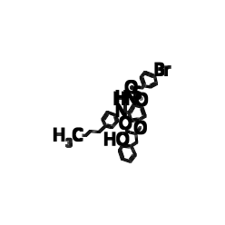 CCCCc1ccc(Nc2cc(OC(Cc3ccccc3)C(=O)O)ccc2NS(=O)(=O)c2ccc(Br)cc2)cc1